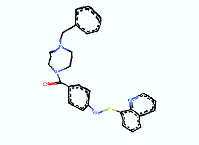 O=C(c1ccc(NSc2cccc3cccnc23)cc1)N1CCN(Cc2ccccc2)CC1